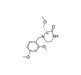 COC[C@@H]1C(=O)NCCN1Cc1ccc(OC)cc1OC